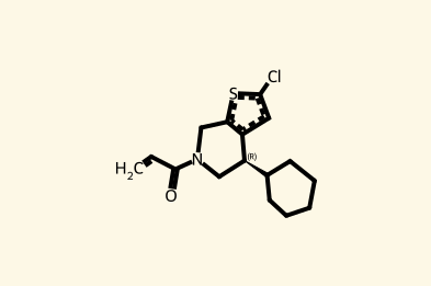 C=CC(=O)N1Cc2sc(Cl)cc2[C@@H](C2CCCCC2)C1